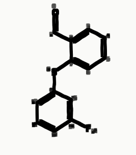 O=Cc1ccccc1Sc1cccc(F)c1